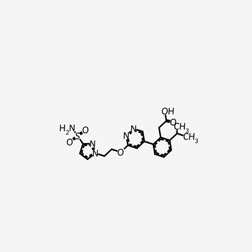 CC(C)c1cccc(-c2cnnc(OCCn3ccc(S(N)(=O)=O)n3)c2)c1CC(=O)O